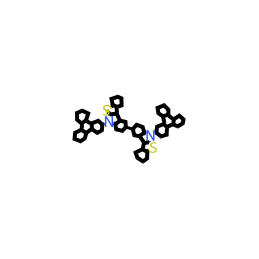 c1ccc2c(c1)sc1c2c2cc(-c3ccc4c(c3)c3c5ccccc5sc3n4-c3ccc4c5ccccc5c5ccccc5c4c3)ccc2n1-c1ccc2c3ccccc3c3ccccc3c2c1